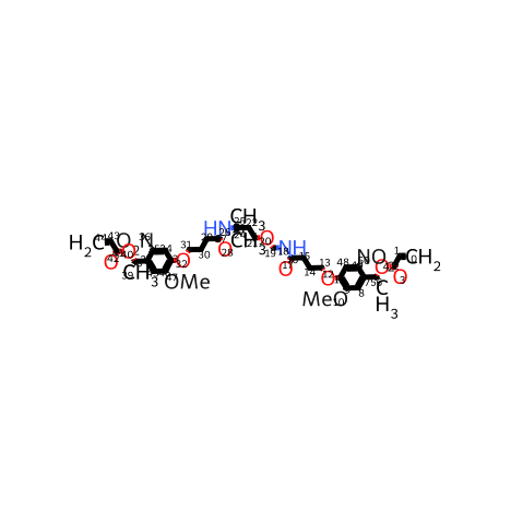 C=CC(=O)OC(C)c1cc(OC)c(OCCCC(=O)NCOCCC(C)(C)NC(=O)CCCOc2cc([N+](=O)[O-])c(C(C)OC(=O)C=C)cc2OC)cc1[N+](=O)[O-]